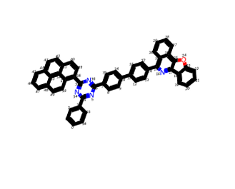 c1ccc(-c2nc(-c3ccc(-c4ccc(-c5nc6c7ccccc7oc6c6ccccc56)cc4)cc3)nc(-c3ccc4ccc5cccc6ccc3c4c56)n2)cc1